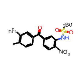 CCCc1cc(C(=O)c2ccc([N+](=O)[O-])c(NS(=O)(=O)C(C)(C)C)c2)ccc1C